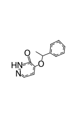 CC(Oc1ccn[nH]c1=O)c1ccccc1